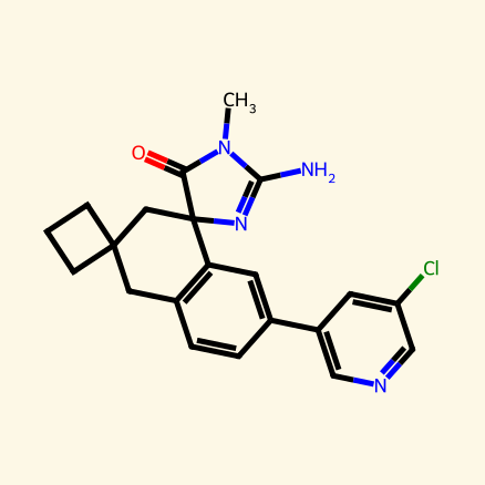 CN1C(=O)C2(CC3(CCC3)Cc3ccc(-c4cncc(Cl)c4)cc32)N=C1N